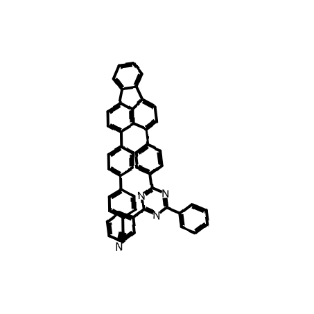 N#Cc1ccc(-c2ccc(-c3ccc4c5c(ccc(-c6ccc(-c7nc(-c8ccccc8)nc(-c8ccccc8)n7)cc6)c35)-c3ccccc3-4)cc2)cc1